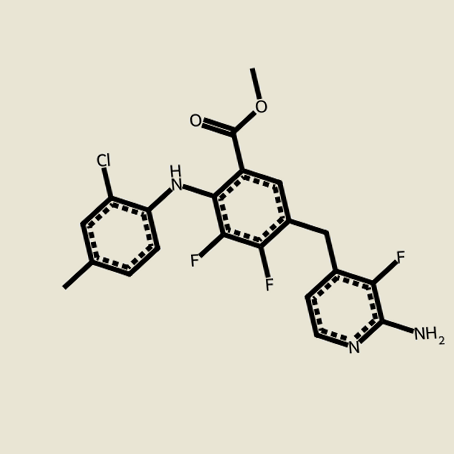 COC(=O)c1cc(Cc2ccnc(N)c2F)c(F)c(F)c1Nc1ccc(C)cc1Cl